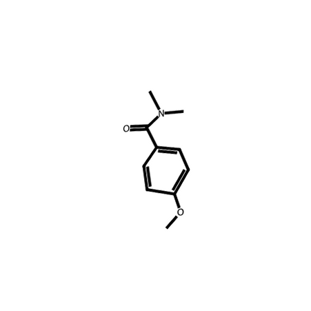 COc1ccc(C(=O)N(C)C)cc1